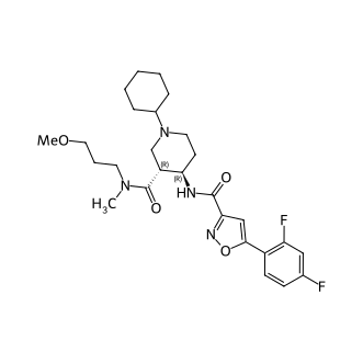 COCCCN(C)C(=O)[C@@H]1CN(C2CCCCC2)CC[C@H]1NC(=O)c1cc(-c2ccc(F)cc2F)on1